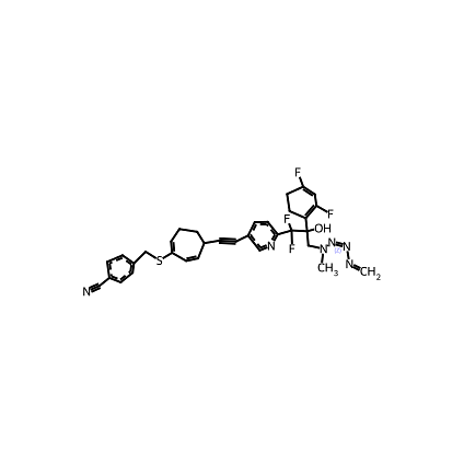 C=N/N=N\N(C)CC(O)(C1=C(F)C=C(F)CC1)C(F)(F)c1ccc(C#CC2C=CC(SCc3ccc(C#N)cc3)=CCC2)cn1